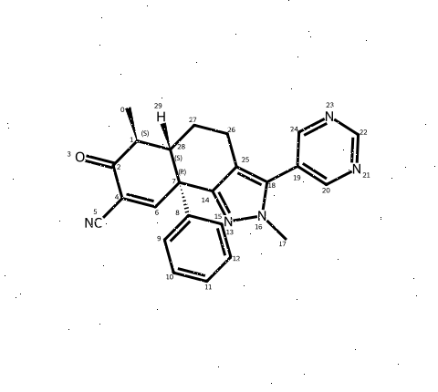 C[C@@H]1C(=O)C(C#N)=C[C@]2(c3ccccc3)c3nn(C)c(-c4cncnc4)c3CC[C@@H]12